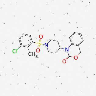 Cc1c(Cl)cccc1S(=O)(=O)N1CCC(N2C(=O)OCc3ccccc32)CC1